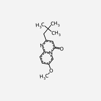 COc1ccc2nc(CC(C)(C)C)cc(=O)n2c1